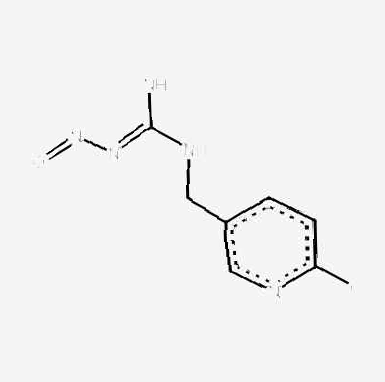 NC(=NN=O)NCc1ccc(Cl)nc1